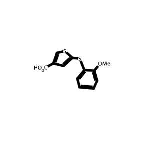 COc1ccccc1Sc1cc(C(=O)O)cs1